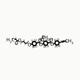 C=CC(=O)OCCCCOc1ccc(C(=O)Oc2ccc(C(=O)Oc3ccc(C#CC)cc3)cc2OC)cc1